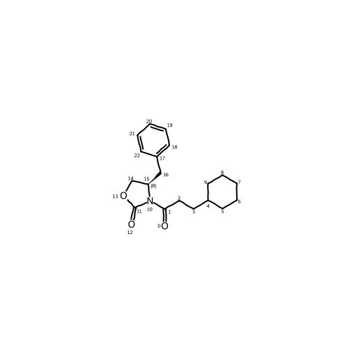 O=C(CCC1CCCCC1)N1C(=O)OC[C@H]1Cc1ccccc1